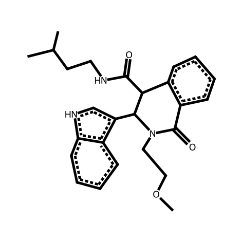 COCCN1C(=O)c2ccccc2C(C(=O)NCCC(C)C)C1c1c[nH]c2ccccc12